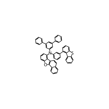 c1ccc(-c2cc(-c3ccccc3)cc(N(c3cccc(-c4cccc5sc6ccccc6c45)c3)c3cccc4oc5c6ccccc6ccc5c34)c2)cc1